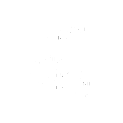 C=C1/C=C\C=C/B(CC2CCC(N3CC(OC)C3)CC2)/C(C)=C\1C(=O)NCc1c(C)cc(C)[nH]c1=O